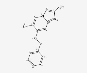 CC(C)(C)c1cn2cc(Br)c(OCc3ccccc3)cc2n1